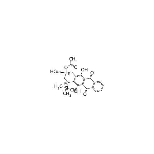 C#C[C@@]1(OC(C)=O)Cc2c(O)c3c(c(O)c2[C@H]([Si](C)(C)C)C1)C(=O)c1ccccc1C3=O